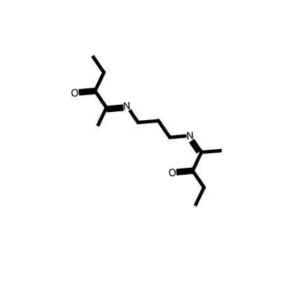 CCC(=O)C(C)=NCCCN=C(C)C(=O)CC